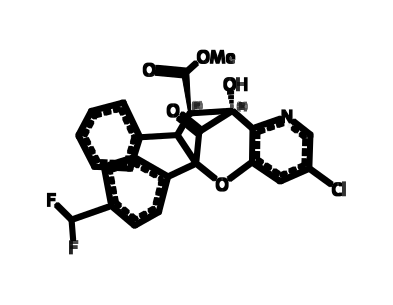 COC(=O)[C@@H]1C(c2ccccc2)C2(c3ccc(C(F)F)cc3)Oc3cc(Cl)cnc3[C@@]1(O)C2=O